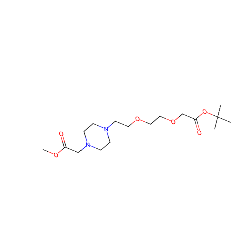 COC(=O)CN1CCN(CCOCCOCC(=O)OC(C)(C)C)CC1